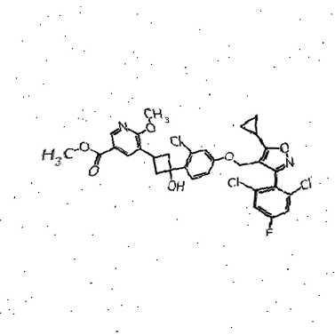 COC(=O)c1cnc(OC)c(C2CC(O)(c3ccc(OCc4c(-c5c(Cl)cc(F)cc5Cl)noc4C4CC4)cc3Cl)C2)c1